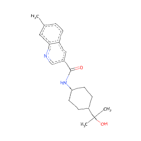 Cc1ccc2cc(C(=O)NC3CCC(C(C)(C)O)CC3)cnc2c1